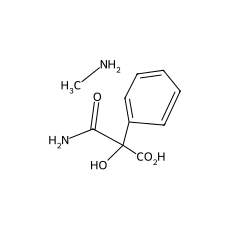 CN.NC(=O)C(O)(C(=O)O)c1ccccc1